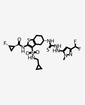 Cn1nc(C(F)F)cc1NNC(=S)N[C@H]1CCc2sc(NC(=O)[C@H]3C[C@@H]3F)c(S(=O)(=O)NCC3CC3)c2C1